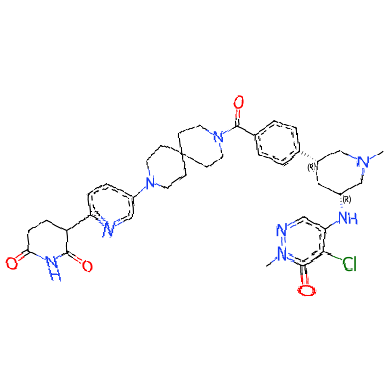 CN1C[C@H](Nc2cnn(C)c(=O)c2Cl)C[C@H](c2ccc(C(=O)N3CCC4(CC3)CCN(c3ccc(C5CCC(=O)NC5=O)nc3)CC4)cc2)C1